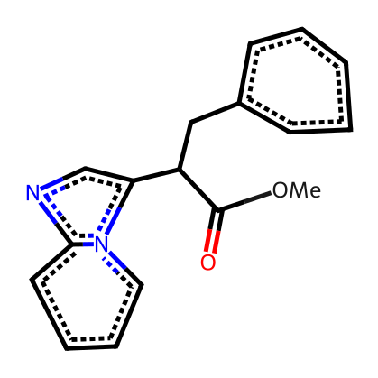 COC(=O)C(Cc1ccccc1)c1cnc2ccccn12